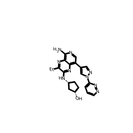 CCc1nc2c(N)ncc(-c3cnn(-c4cccnn4)c3)c2nc1N[C@@H]1CC[C@H](O)C1